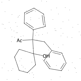 CC(=O)C(Cc1ccccc1)(c1ccccc1)C1(O)CCCCC1